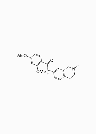 COc1ccc(C(=O)Nc2ccc3c(c2)CN(C)CC3)c(OC)c1